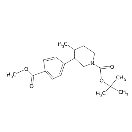 COC(=O)c1ccc(C2CN(C(=O)OC(C)(C)C)CCC2C)cc1